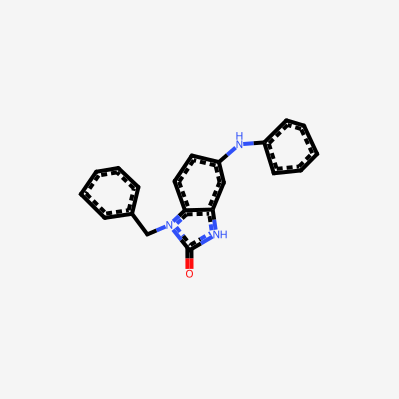 O=c1[nH]c2cc(Nc3ccccc3)ccc2n1Cc1ccccc1